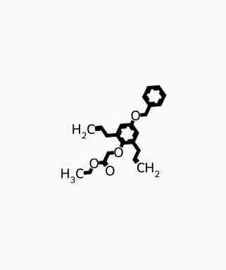 C=CCc1cc(OCc2ccccc2)cc(CC=C)c1OCC(=O)OCC